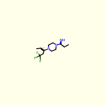 C/C=C(\CC(F)(F)F)N1CCN(C(=N)CC)CC1